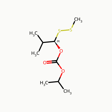 CSS[C@@H](OC(=O)OC(C)C)C(C)C